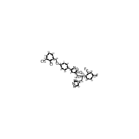 C[C@@H](c1cc(-c2ccc(OCc3cccc(Cl)c3Cl)cc2)no1)[C@](O)(Cn1cnnn1)c1ccc(F)cc1F